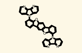 c1cc(-n2c3cccnc3c3ncccc32)c2oc3cc4c(cc3c2c1)oc1c(-n2c3cccnc3c3ncccc32)cccc14